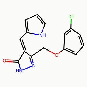 O=C1NN=C(COc2cccc(Cl)c2)C1=Cc1ccc[nH]1